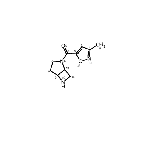 Cc1cc(C(=O)N2CCC3NCC32)on1